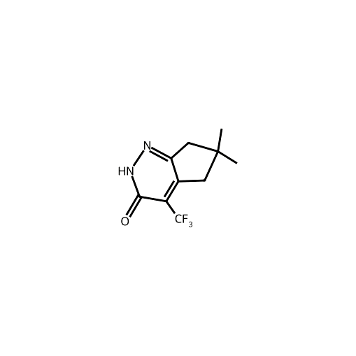 CC1(C)Cc2n[nH]c(=O)c(C(F)(F)F)c2C1